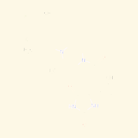 C=C/C(=C\C(Cl)=C(/C)F)N1CCN(C(=O)C(C)CC2(C3CC3)NC(=O)NC2=O)C[C@@H]1C